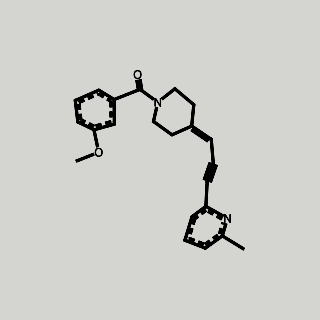 COc1cccc(C(=O)N2CCC(=CC#Cc3cccc(C)n3)CC2)c1